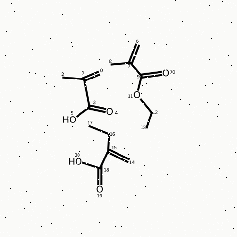 C=C(C)C(=O)O.C=C(C)C(=O)OCC.C=C(CC)C(=O)O